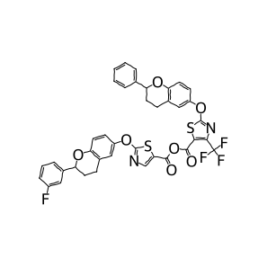 O=C(OC(=O)c1sc(Oc2ccc3c(c2)CCC(c2ccccc2)O3)nc1C(F)(F)F)c1cnc(Oc2ccc3c(c2)CCC(c2cccc(F)c2)O3)s1